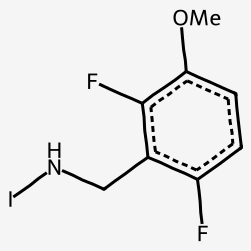 COc1ccc(F)c(CNI)c1F